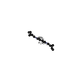 CC1(C)c2cc(/C=C/c3ccc(-c4ccc5c(c4)c4ccccc4n5-c4ccc5ccccc5c4)cc3)ccc2-c2ccc(-c3ccc4c(c3)C(C)(C)c3cc(/C=C/c5ccc(-c6ccc7c(c6)c6ccccc6n7-c6cccc7ccccc67)cc5)ccc3-4)cc21